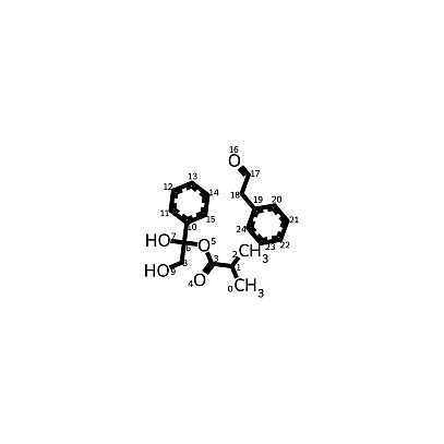 CC(C)C(=O)OC(O)(CO)c1ccccc1.O=CCc1ccccc1